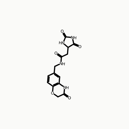 O=C(CC1NC(=O)NC1=O)NCc1ccc2c(c1)NC(=O)CO2